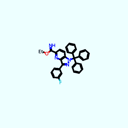 CCOC(=N)c1ccc2c(n1)c(-c1cccc(F)c1)nn2C(c1ccccc1)(c1ccccc1)c1ccccc1